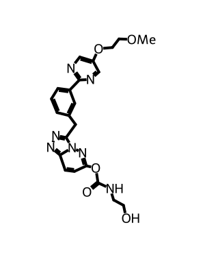 COCCOc1cnc(-c2cccc(Cc3nnc4ccc(OC(=O)NCCO)nn34)c2)nc1